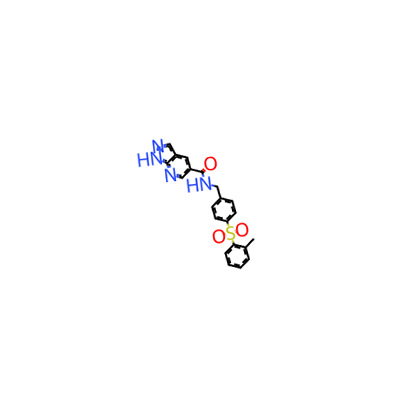 Cc1ccccc1S(=O)(=O)c1ccc(CNC(=O)c2cnc3[nH]ncc3c2)cc1